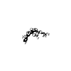 CCN(CC)CCONC(=O)c1c(C)[nH]c(/C=C2\C(=O)Nc3ccc(F)cc32)c1C